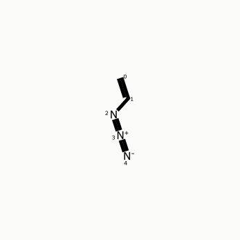 C=CN=[N+]=[N-]